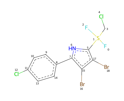 FS(F)(CCl)c1[nH]c(-c2ccc(Cl)cc2)c(Br)c1Br